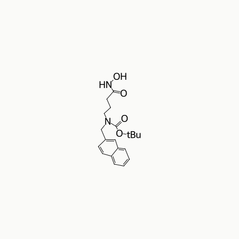 CC(C)(C)OC(=O)N(CCCC(=O)NO)Cc1ccc2ccccc2c1